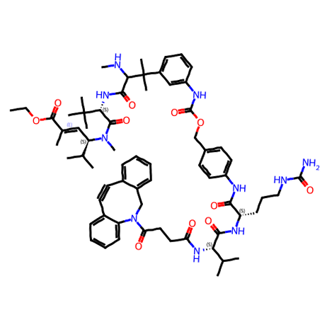 CCOC(=O)/C(C)=C/[C@H](C(C)C)N(C)C(=O)[C@@H](NC(=O)C(NC)C(C)(C)c1cccc(NC(=O)OCc2ccc(NC(=O)[C@H](CCCNC(N)=O)NC(=O)[C@@H](NC(=O)CCC(=O)N3Cc4ccccc4C#Cc4ccccc43)C(C)C)cc2)c1)C(C)(C)C